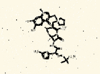 C[C@@H]1S[C@@H]2[C@H](NC(=O)/C(=N\OC(C)(C)C(=O)O)c3csc(N)n3)C(=O)N2C(C(=O)O)=C1C[N+]1(Cc2cn(C)c3cc(O)c(O)cc3c2=O)CCCC1